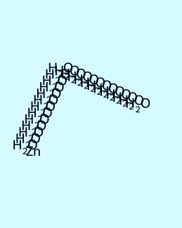 O.O.O.O.O.O.O.O.O.O.O.O.O.O.O.O.O.O.O.O.O.O.O.O.O.[Zn]